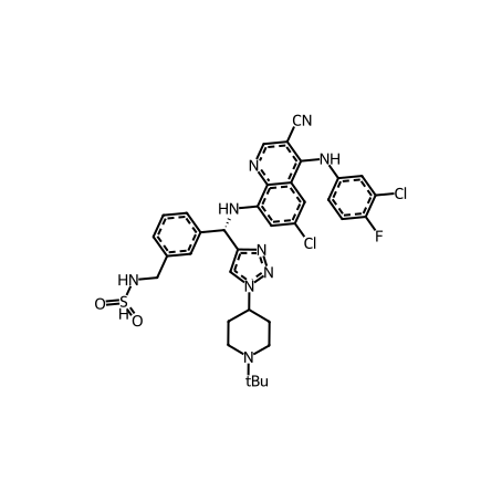 CC(C)(C)N1CCC(n2cc([C@@H](Nc3cc(Cl)cc4c(Nc5ccc(F)c(Cl)c5)c(C#N)cnc34)c3cccc(CN[SH](=O)=O)c3)nn2)CC1